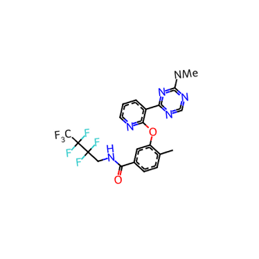 CNc1ncnc(-c2cccnc2Oc2cc(C(=O)NCC(F)(F)C(F)(F)C(F)(F)F)ccc2C)n1